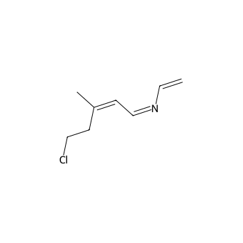 C=C/N=C\C=C(\C)CCCl